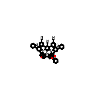 N#Cc1cccc(-c2c(C#N)c(-c3cccc(C#N)c3)c(-n3c4ccccc4c4cc5c(cc43)sc3ccccc35)c(-n3c4ccccc4c4cc5c(cc43)sc3ccccc35)c2-n2c3ccccc3c3cc4c(cc32)sc2ccccc24)c1